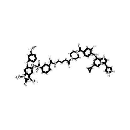 CCCOc1cccc(Oc2cc3c(cc2NS(=O)(=O)c2cccc(C(=O)NCCCC(=O)N4CCN(C(=O)c5ccc(Nc6nc(C7CC7)cn7c(-c8cn[nH]c8)cnc67)c(F)c5)CC4)c2)n(C)c(=O)n3C)c1